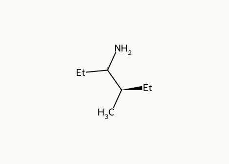 CC[C](N)[C@H](C)CC